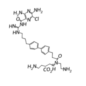 N=C(NCCCCc1ccc(-c2ccc(CCC(=O)N(CCN)[C@@H](CCCCN)C(=O)O)cc2)cc1)NC(=O)c1nc(Cl)c(N)nc1N